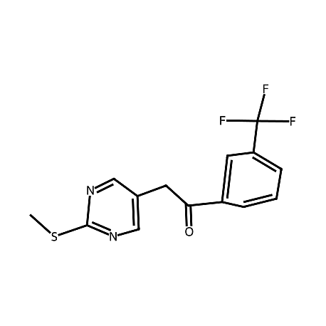 CSc1ncc(CC(=O)c2cccc(C(F)(F)F)c2)cn1